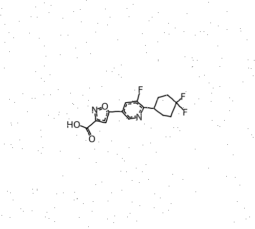 O=C(O)c1cc(-c2cnc(C3CCC(F)(F)CC3)c(F)c2)on1